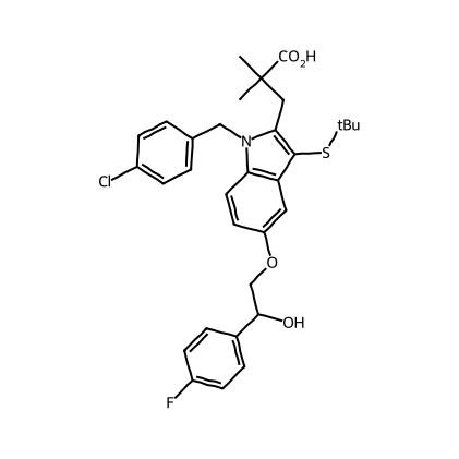 CC(C)(C)Sc1c(CC(C)(C)C(=O)O)n(Cc2ccc(Cl)cc2)c2ccc(OCC(O)c3ccc(F)cc3)cc12